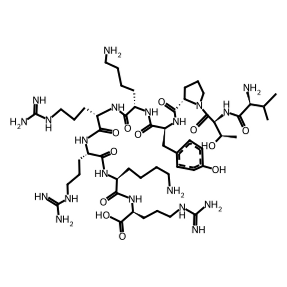 CC(C)[C@H](N)C(=O)N[C@H](C(=O)N1CCC[C@H]1C(=O)N[C@@H](Cc1ccc(O)cc1)C(=O)N[C@@H](CCCCN)C(=O)N[C@@H](CCCNC(=N)N)C(=O)N[C@@H](CCCNC(=N)N)C(=O)N[C@@H](CCCCN)C(=O)N[C@@H](CCCNC(=N)N)C(=O)O)[C@@H](C)O